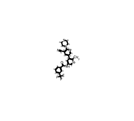 Cc1ncc(NC(=O)c2cccc(C(F)(F)F)c2)cc1-c1cnc(N2CCSCC2)c(C#N)c1